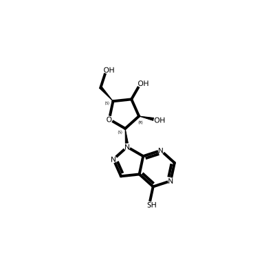 OC[C@@H]1O[C@H](n2ncc3c(S)ncnc32)[C@H](O)C1O